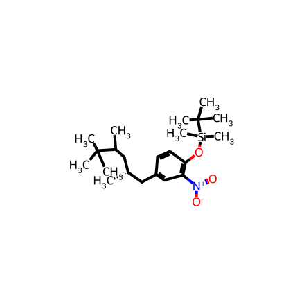 CC(C[C@@H](C)Cc1ccc(O[Si](C)(C)C(C)(C)C)c([N+](=O)[O-])c1)C(C)(C)C